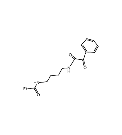 CCC(=O)NCCCCNC(=O)C(=O)c1ccccc1